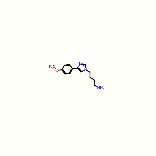 NCCCCn1cnc(-c2ccc(OC(F)(F)F)cc2)c1